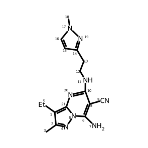 CCc1c(C)nn2c(N)c(C#N)c(NCCc3ccn(C)n3)nc12